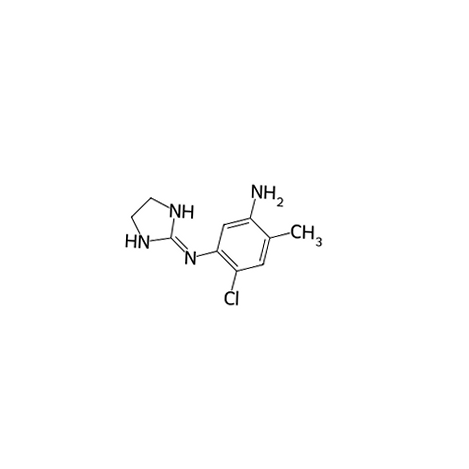 Cc1cc(Cl)c(N=C2NCCN2)cc1N